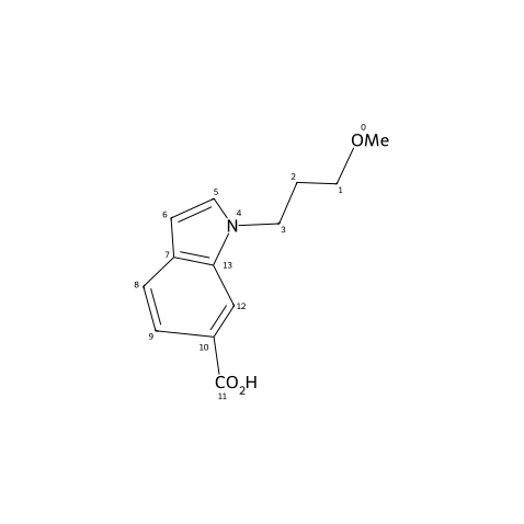 COCCCn1ccc2ccc(C(=O)O)cc21